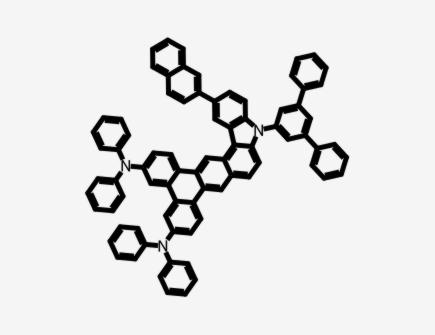 c1ccc(-c2cc(-c3ccccc3)cc(-n3c4ccc(-c5ccc6ccccc6c5)cc4c4c5cc6c7ccc(N(c8ccccc8)c8ccccc8)cc7c7cc(N(c8ccccc8)c8ccccc8)ccc7c6cc5ccc43)c2)cc1